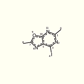 Cc1nc(I)c2nc(C)oc2n1